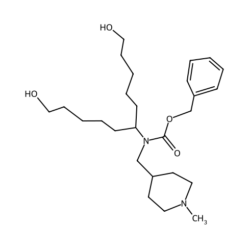 CN1CCC(CN(C(=O)OCc2ccccc2)C(CCCCCO)CCCCCO)CC1